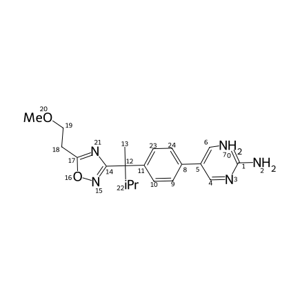 C=C(N)/N=C\C(=C/N)c1ccc(C(C)(c2noc(CCOC)n2)C(C)C)cc1